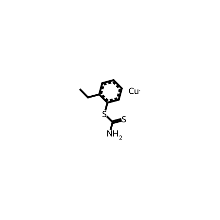 CCc1ccccc1SC(N)=S.[Cu]